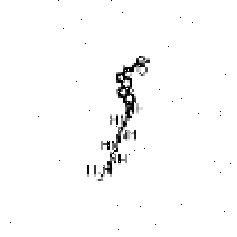 COC(=O)CC[C@@H](C)C1CCC2C3CCC4C[C@@H](NCCNCCNCCNCCNCCN)CC[C@]4(C)C3CC[C@@]21C